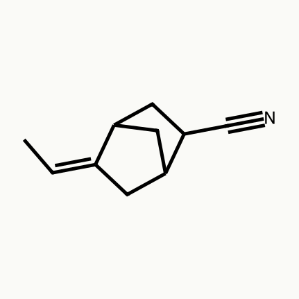 CC=C1CC2CC1CC2C#N